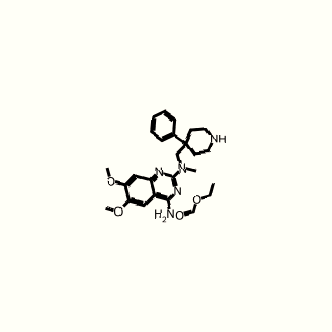 CCOC=O.COc1cc2nc(N(C)CC3(c4ccccc4)CCNCC3)nc(N)c2cc1OC